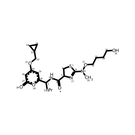 CCCC(NC(=O)C1CSC(N(C)OCCCCO)=N1)c1cc(OCC2CC2)cc(=O)o1